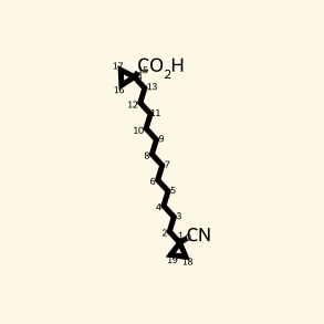 N#CC1(CCCCCCCCCCCCC2(C(=O)O)CC2)CC1